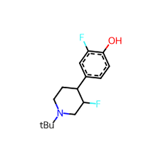 CC(C)(C)N1CCC(c2ccc(O)c(F)c2)C(F)C1